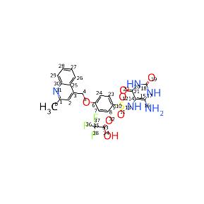 Cc1cc(COc2ccc(S(=O)(=O)Nc3c(N)[nH]c(=O)[nH]c3=O)cc2)c2ccccc2n1.O=C(O)C(F)(F)F